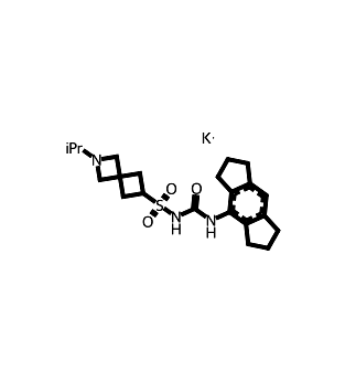 CC(C)N1CC2(CC(S(=O)(=O)NC(=O)Nc3c4c(cc5c3CCC5)CCC4)C2)C1.[K]